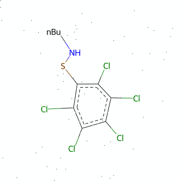 CCCCNSc1c(Cl)c(Cl)c(Cl)c(Cl)c1Cl